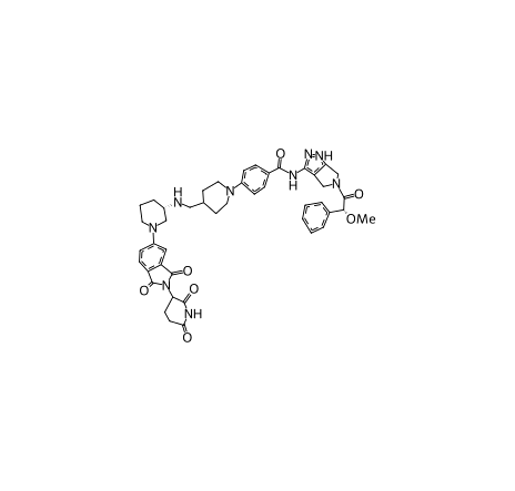 CO[C@@H](C(=O)N1Cc2[nH]nc(NC(=O)c3ccc(N4CCC(CN[C@H]5CCCN(c6ccc7c(c6)C(=O)N(C6CCC(=O)NC6=O)C7=O)C5)CC4)cc3)c2C1)c1ccccc1